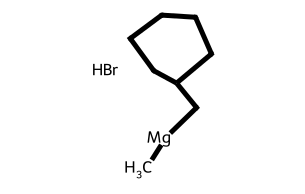 Br.[CH3][Mg][CH2]C1CCCCC1